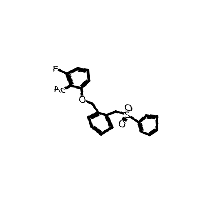 CC(=O)c1c(F)cccc1OCc1ccccc1CS(=O)(=O)c1ccccc1